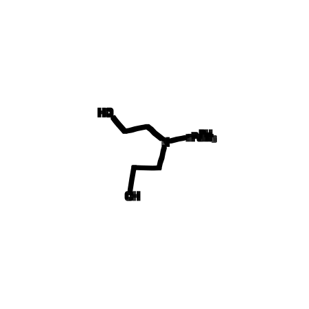 CCCCCN(CCO)CCO.P